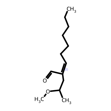 CCCCCC/C=C(\C=O)CC(C)OC